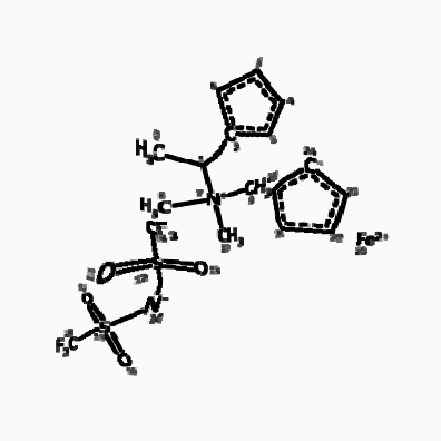 CC([c-]1cccc1)[N+](C)(C)C.O=S(=O)([N-]S(=O)(=O)C(F)(F)F)C(F)(F)F.[Fe+2].c1cc[cH-]c1